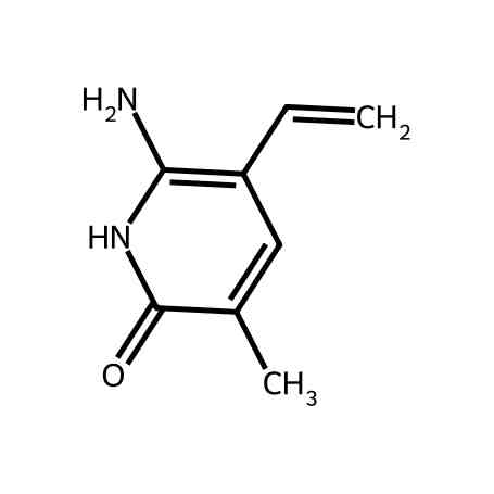 C=Cc1cc(C)c(=O)[nH]c1N